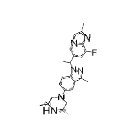 Cc1cn2cc(C(C)n3nc(C)c4cc(N5C[C@H](C)N[C@@H](C)C5)ccc43)cc(F)c2n1